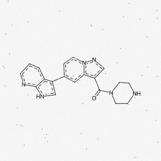 O=C(c1cnn2ccc(-c3c[nH]c4ncccc34)cc12)N1CCNCC1